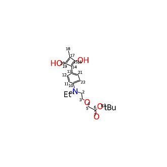 CCN(CCOCC(=O)OC(C)(C)C)c1ccc(C2=C(O)C(C)=C2O)cc1